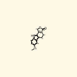 COc1ccc2[nH]c3c(c2c1)CCN1C(=O)OCC31